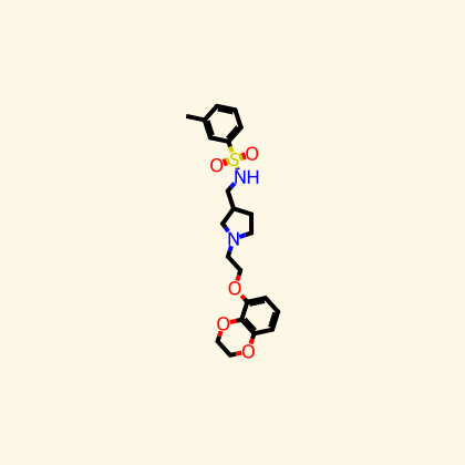 Cc1cccc(S(=O)(=O)NCC2CCN(CCOc3cccc4c3OCCO4)C2)c1